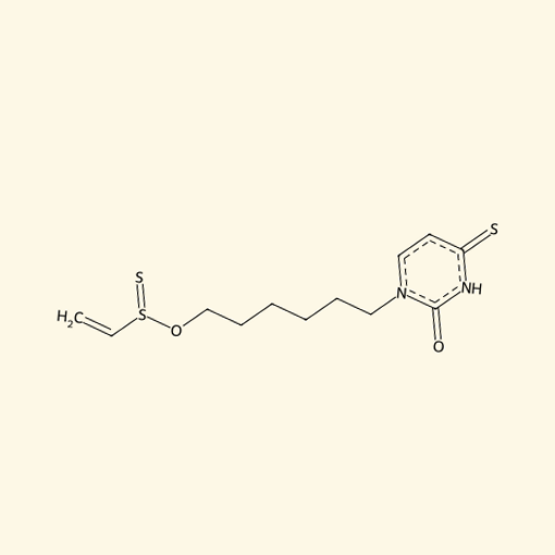 C=CS(=S)OCCCCCCn1ccc(=S)[nH]c1=O